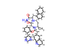 CC1CCN(C(Cc2cccc3ccccc23)C(N)=O)C(=O)[C@@H](c2cccc(-c3cncnc3)c2)N1C(=O)Cc1ccc2ncccc2c1